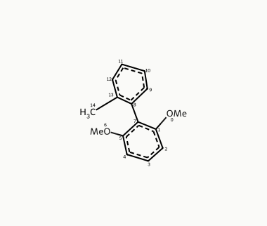 COc1cccc(OC)c1-c1ccccc1C